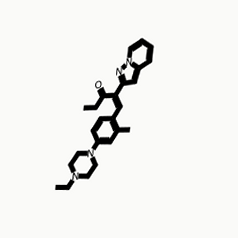 CCC(=O)/C(=C\c1ccc(N2CCN(CC)CC2)cc1C)c1cc2ccccn2n1